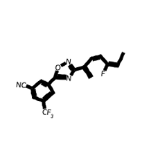 C=C(/C=C\C(F)=C/C)c1noc(-c2cc(C#N)cc(C(F)(F)F)c2)n1